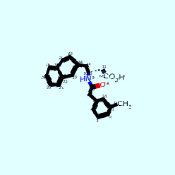 Cc1cccc(CC(=O)N[C@@H](CC(=O)O)Cc2ccc3ccccc3c2)c1